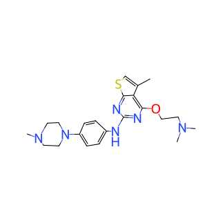 Cc1csc2nc(Nc3ccc(N4CCN(C)CC4)cc3)nc(OCCN(C)C)c12